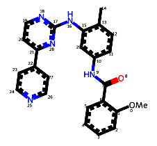 COc1ccccc1C(=O)Nc1ccc(C)c(Nc2nccc(-c3ccncc3)n2)c1